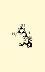 Cc1nc(O)nc(NC(=O)NS(=O)(=O)c2ccsc2C(=O)C=O)n1